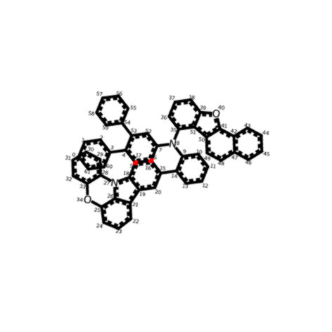 c1ccc(-c2ccc(N(c3ccccc3-c3ccc4c(c3)c3cccc5c3n4-c3ccccc3O5)c3cccc4oc5c6ccccc6ccc5c34)cc2-c2ccccc2)cc1